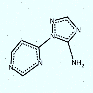 Nc1ncnn1-c1ccncn1